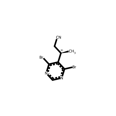 C[C@H](CC#N)c1c(Br)ncnc1Br